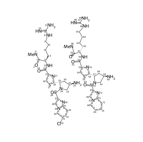 CNC(=O)[C@@H](CCCCNC(=N)N)NC(=O)c1csc([C@@H]2C[C@@H](N)CN2C(=O)c2cn3cc(Cl)ccc3n2)n1.CNC(=O)[C@H](CCCCNC(=N)N)NC(=O)c1csc([C@@H]2C[C@@H](N)CN2C(=O)c2cn3ccccc3n2)n1